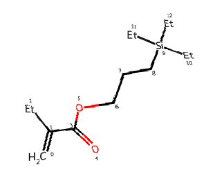 C=C(CC)C(=O)OCCC[Si](CC)(CC)CC